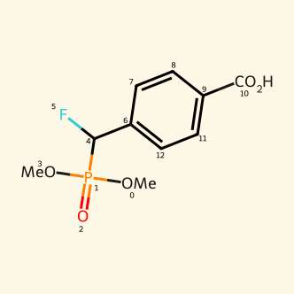 COP(=O)(OC)C(F)c1ccc(C(=O)O)cc1